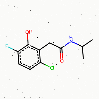 CC(C)NC(=O)Cc1c(Cl)ccc(F)c1O